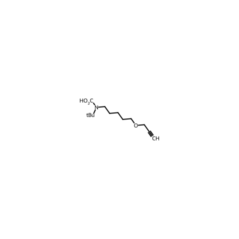 C#CCOCCCCCN(C(=O)O)C(C)(C)C